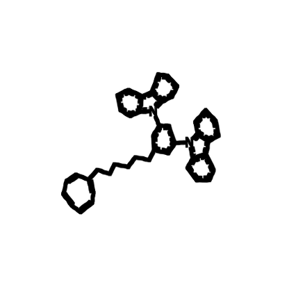 C1=C\C=C/C(CCCCCCc2cc(-n3c4ccccc4c4ccccc43)cc(-n3c4ccccc4c4ccccc43)c2)=C\C=C/1